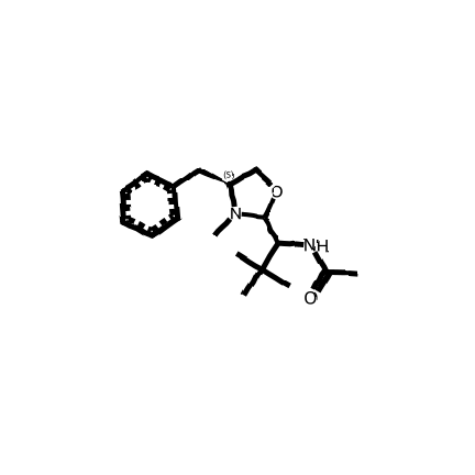 CC(=O)NC(C1OC[C@H](Cc2ccccc2)N1C)C(C)(C)C